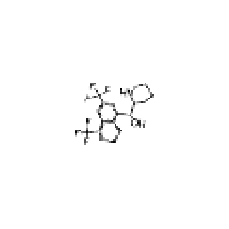 OC(c1cc(C(F)(F)F)cc2c(C(F)(F)F)cccc12)C1CCCCN1